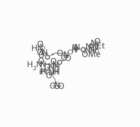 CC[C@@H]1C(=O)N(C)c2cnc(Nc3ccc(-c4cn([C@H]5CC[C@@H](N(CCOCCC#Cc6cccc7c6CN(C6CCC(=O)NC6=O)C7=O)C(=O)OCc6ccc(NC(=O)[C@H](CCCNC(N)=O)NC(=O)[C@@H](NC(=O)CCCCCN7C(=O)C=CC7=O)C(C)C)cc6)CC5)nn4)cc3OC)nc2N1C1CCCC1